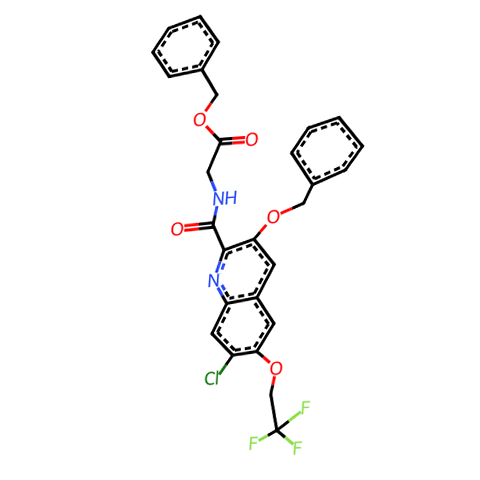 O=C(CNC(=O)c1nc2cc(Cl)c(OCC(F)(F)F)cc2cc1OCc1ccccc1)OCc1ccccc1